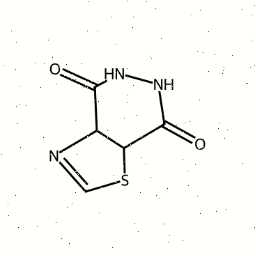 O=C1NNC(=O)C2SC=NC12